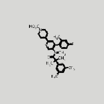 Cc1cc(F)ccc1-c1cc(C2CCN(C(=O)O)CC2)ncc1N(C)C(=O)C(C)(C)c1cc(C(F)(F)F)cc(C(F)(F)F)c1